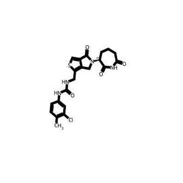 Cc1ccc(NC(=O)NCc2scc3c2CN([C@H]2CCCC(=O)NC2=O)C3=O)cc1Cl